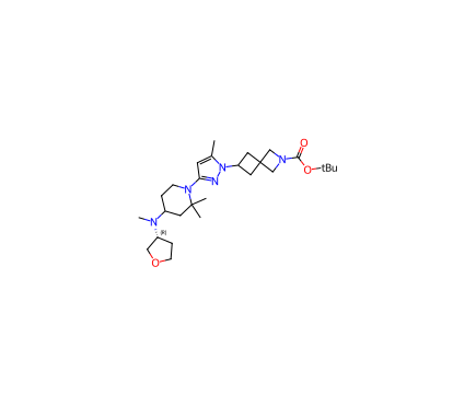 Cc1cc(N2CCC(N(C)[C@@H]3CCOC3)CC2(C)C)nn1C1CC2(C1)CN(C(=O)OC(C)(C)C)C2